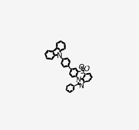 O=S1(=O)c2cc(-c3ccc(-n4c5ccccc5c5ccccc54)cc3)ccc2-n2c(-c3ccccc3)nc3cccc1c32